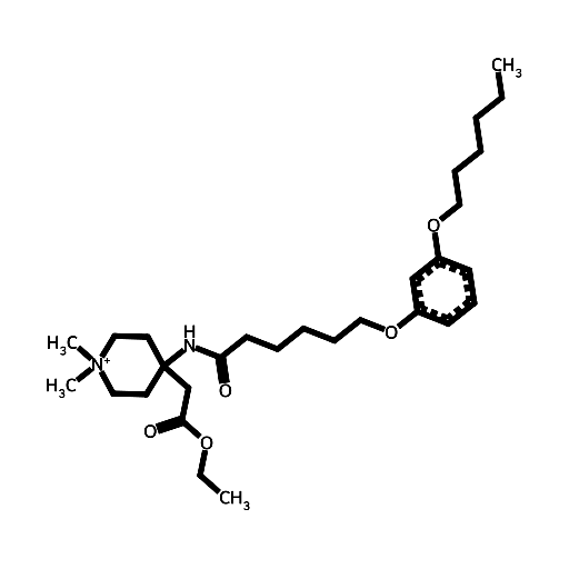 CCCCCCOc1cccc(OCCCCCC(=O)NC2(CC(=O)OCC)CC[N+](C)(C)CC2)c1